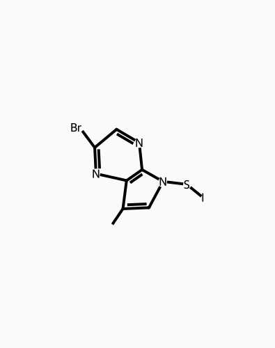 Cc1cn(SI)c2ncc(Br)nc12